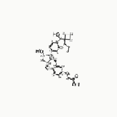 CCCC1(C(O)c2ccc([C@@H]3[C@@H](Cc4cccc(OCC(=O)O)c4)[C@H](Cl)C[C@H]3O)cc2)CCC1